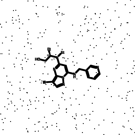 CC[C@H](CO)N(CC)c1cc(NCc2cccnc2)n2ncc(Br)c2n1